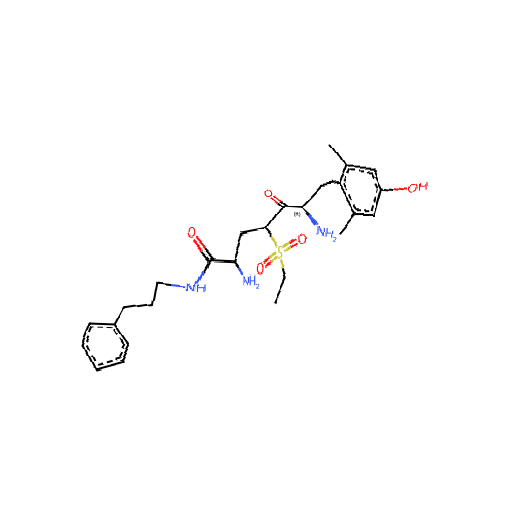 CCS(=O)(=O)C(CC(N)C(=O)NCCCc1ccccc1)C(=O)[C@H](N)Cc1c(C)cc(O)cc1C